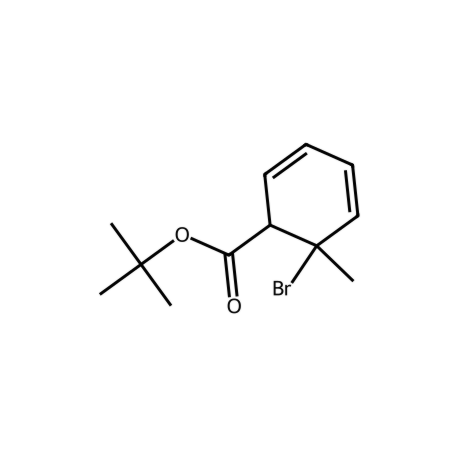 CC(C)(C)OC(=O)C1C=CC=CC1(C)Br